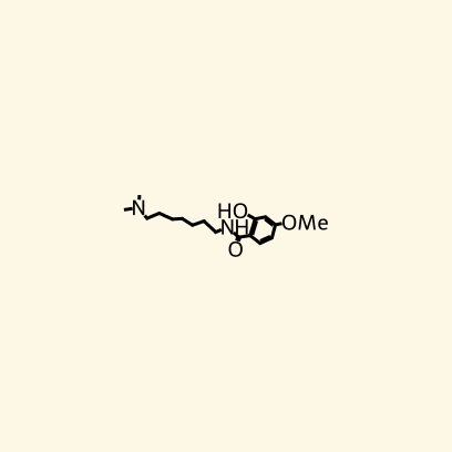 COc1ccc(C(=O)NCCCCCCCN(C)C)c(O)c1